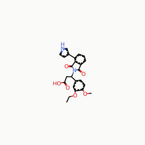 CCOc1cc(C(CC(=O)O)N2C(=O)c3cccc(-c4cc[nH]c4)c3C2=O)ccc1OC